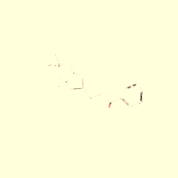 C[C@@H](OC(=O)c1ccccc1)C1C[C@H]2OC(C)(C)O[C@H]2O1